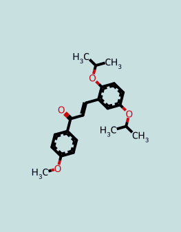 COc1ccc(C(=O)C=Cc2cc(OC(C)C)ccc2OC(C)C)cc1